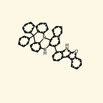 B1c2cccc3c2N(c2ccccc2C3(c2ccccc2)c2ccccc2)c2c1c(-c1cccc3c1[nH]c1oc4ccccc4c13)cc1ccccc21